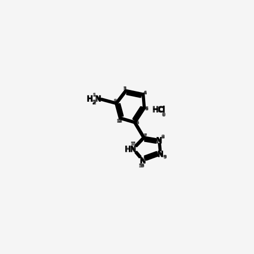 Cl.Nc1cccc(-c2nnn[nH]2)c1